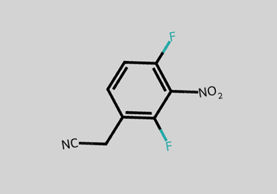 N#CCc1ccc(F)c([N+](=O)[O-])c1F